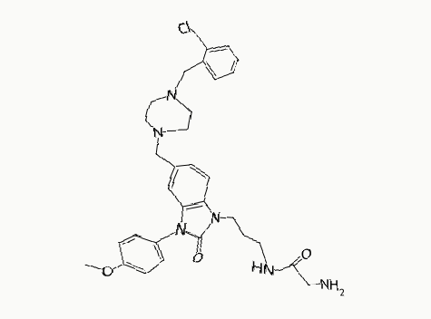 COc1ccc(-n2c(=O)n(CCCNC(=O)CN)c3ccc(CN4CCN(Cc5ccccc5Cl)CC4)cc32)cc1